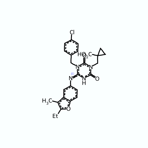 CCc1oc2ccc(/N=c3\[nH]c(=O)n(CC4(C(=O)O)CC4)c(=O)n3Cc3ccc(Cl)cc3)cc2c1C